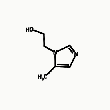 Cc1cncn1CCO